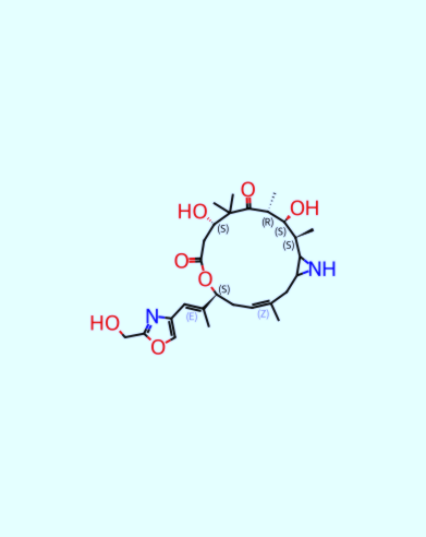 C/C1=C/C[C@@H](/C(C)=C/c2coc(CO)n2)OC(=O)C[C@H](O)C(C)(C)C(=O)[C@H](C)[C@@H](O)[C@@H](C)C2NC2C1